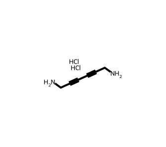 Cl.Cl.NCC#CC#CCN